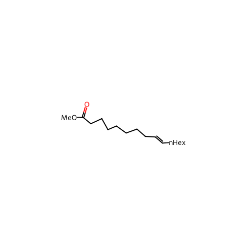 CCCCCC/C=C/CCCCCCCC(=O)OC